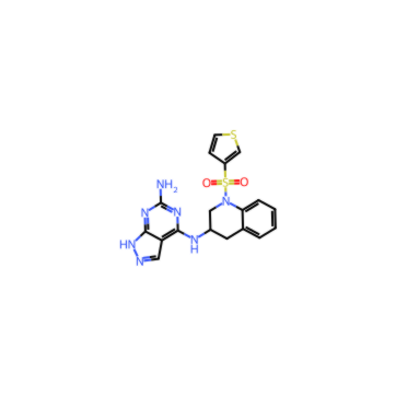 Nc1nc(NC2Cc3ccccc3N(S(=O)(=O)c3ccsc3)C2)c2cn[nH]c2n1